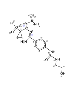 C=C(N)/C=C(\N=C(/N)c1ccc(NC(=O)NCCO)cc1)C1(S(=O)(=O)C(C)C)CC1